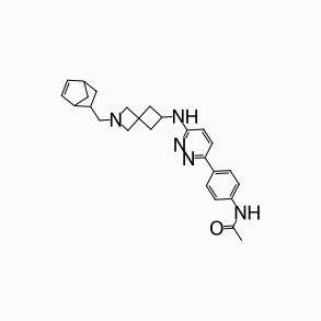 CC(=O)Nc1ccc(-c2ccc(NC3CC4(C3)CN(CC3CC5C=CC3C5)C4)nn2)cc1